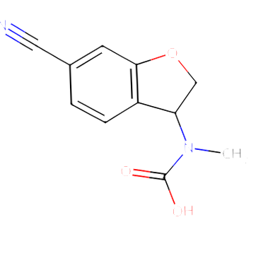 CN(C(=O)O)C1COc2cc(C#N)ccc21